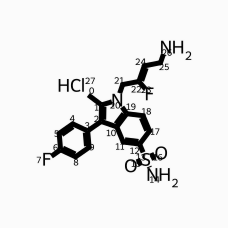 Cc1c(-c2ccc(F)cc2)c2cc(S(N)(=O)=O)ccc2n1CC(F)=CCN.Cl